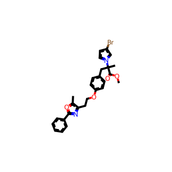 COC(=O)C(C)(Cc1ccc(OCCc2nc(-c3ccccc3)oc2C)cc1)n1ccc(Br)c1